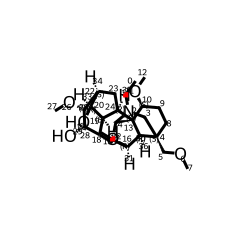 CCN1C[C@]2(COC)CC[C@H](OC)[C@@]34C1O[C@H](C=C1[C@H]5[C@@H](O)[C@H](C[C@H]53)[C@@H](OC)[C@H]1O)[C@H]24